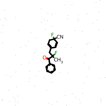 CC(F)(CC1=CCC(F)(C#N)C=C1)C(=O)c1ccccc1